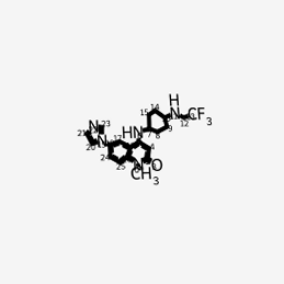 Cn1c(=O)cc(NC2CCC(NCC(F)(F)F)CC2)c2cc(-n3ccnc3)ccc21